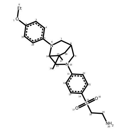 CCOc1ccc(N2CC3CN(c4ccc(S(=O)(=O)CCN)cc4)CC2C(C)(C)C3)cc1